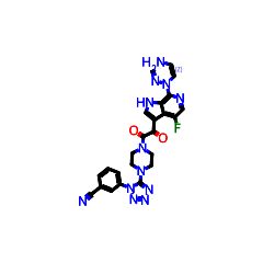 C=NN(/C=C\N)c1ncc(F)c2c(C(=O)C(=O)N3CCN(c4nnnn4-c4cccc(C#N)c4)CC3)c[nH]c12